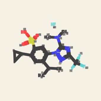 CC(C)c1cc(C2CC2)c(S(=O)(=O)O)cc1-n1nc(C(F)(F)F)nc1N(C)C.F